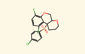 O=S(=O)(c1ccc(Cl)cc1)[C@]12CCCOC1COc1c(F)ccc(F)c12